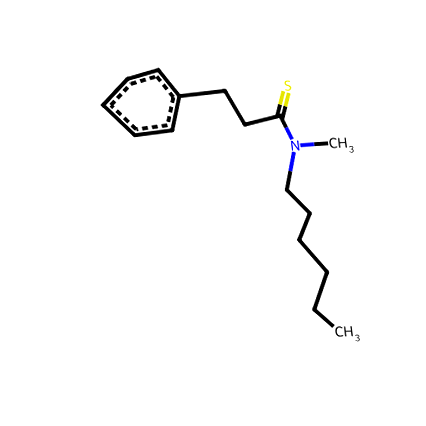 CCCCCCN(C)C(=S)CCc1ccccc1